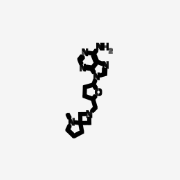 CN1CCCC12CN(CC1CCC(n3cnc4c(N)ncnc43)O1)C2